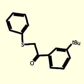 CC(C)(C)c1cccc(C(=O)CSc2ccccc2)c1